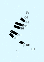 C=N.C=N.C=N.C=N.C=N.C=N.[Fe].[KH].[KH].[KH]